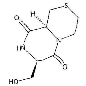 O=C1N[C@H](CO)C(=O)N2CCSC[C@H]12